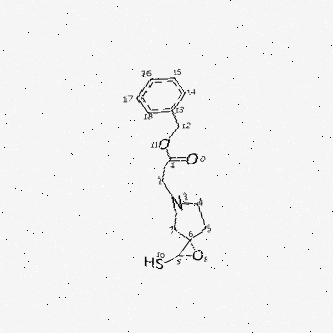 O=C(CN1CCC2(C1)OC2S)OCc1ccccc1